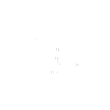 COc1ccc2c(c1)C(C1CCC1)N(c1nnc(-c3c(C)cccc3C)c3ccccc13)CC2